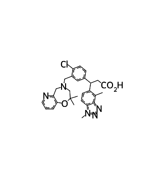 Cc1c(C(CC(=O)O)c2ccc(Cl)c(CN3Cc4ncccc4OC(C)(C)C3)c2)ccc2c1nnn2C